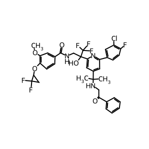 COc1cc(C(=O)NCC(O)(c2cc(C(C)(C)NCC(=O)c3ccccc3)cc(-c3ccc(F)c(Cl)c3)n2)C(F)(F)F)ccc1OC1CC1(F)F